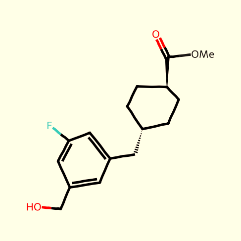 COC(=O)[C@H]1CC[C@H](Cc2cc(F)cc(CO)c2)CC1